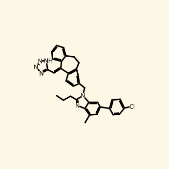 CCCc1nc2c(C)cc(-c3ccc(Cl)cc3)cc2n1Cc1ccc2c(c1)CCc1ccccc1C2=Cc1nnn[nH]1